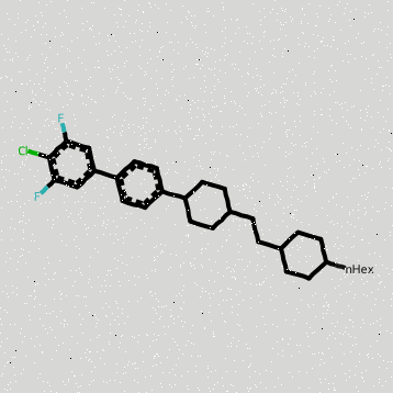 CCCCCCC1CCC(CCC2CCC(c3ccc(-c4cc(F)c(Cl)c(F)c4)cc3)CC2)CC1